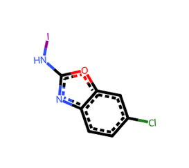 Clc1ccc2nc(NI)oc2c1